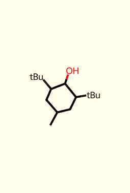 CC1CC(C(C)(C)C)C(O)C(C(C)(C)C)C1